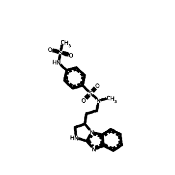 CN(CCC1CNc2nc3ccccc3n21)S(=O)(=O)c1ccc(NS(C)(=O)=O)cc1